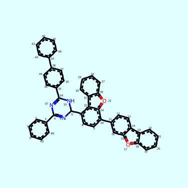 c1ccc(C2=NC(c3ccc(-c4ccc5c(c4)oc4ccccc45)c4oc5ccccc5c34)NC(c3ccc(-c4ccccc4)cc3)=N2)cc1